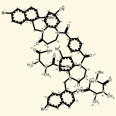 COc1ccc2cc(Br)ccc2c1CN1C(=O)[C@@H](NC(=O)[C@H](C)N(C)C(=O)OC(C)(C)C)CN(C(=O)c2ccc(C(=O)N3C[C@H](NC(=O)[C@H](C)N(C)C(=O)OC(C)(C)C)C(=O)N(Cc4c(OC)ccc5cc(Br)ccc45)c4ccc(C#N)cc43)cc2)c2cc(C#N)ccc21